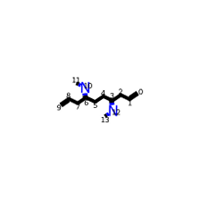 C=CCC(CCC(CC=C)=NC)=NC